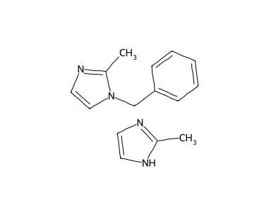 Cc1ncc[nH]1.Cc1nccn1Cc1ccccc1